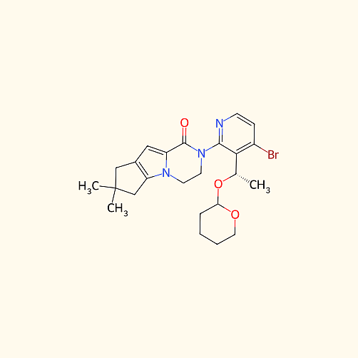 C[C@H](OC1CCCCO1)c1c(Br)ccnc1N1CCn2c(cc3c2CC(C)(C)C3)C1=O